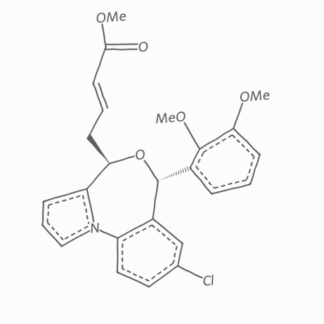 COC(=O)/C=C/C[C@H]1O[C@H](c2cccc(OC)c2OC)c2cc(Cl)ccc2-n2cccc21